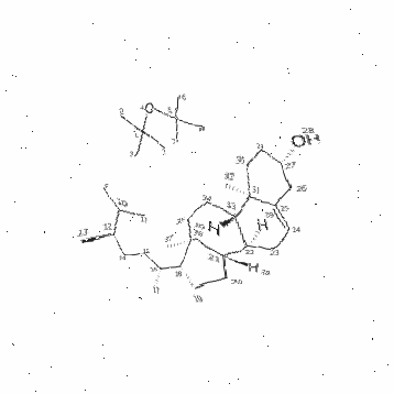 CC(C)(C)OC(C)(C)C.CC(C)[C@H](C)CC[C@@H](C)[C@H]1CC[C@H]2[C@@H]3CC=C4C[C@@H](O)CC[C@]4(C)[C@H]3CC[C@]12C